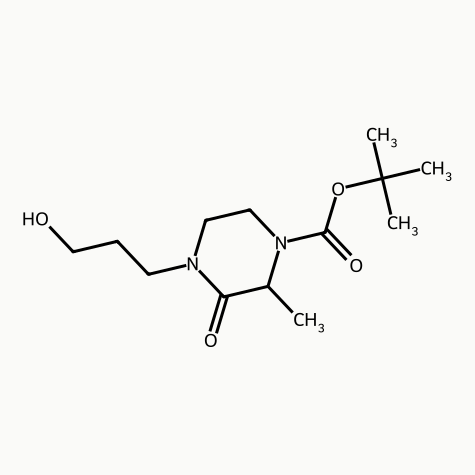 CC1C(=O)N(CCCO)CCN1C(=O)OC(C)(C)C